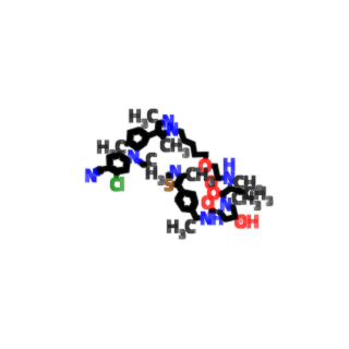 CCN(c1ccc(C#N)c(Cl)c1)c1cc(-c2c(C)nn(CCCCCOCC(=O)N[C@H](C(=O)N3C[C@H](O)C[C@H]3C(=O)N[C@@H](C)c3ccc(-c4scnc4C)cc3)C(C)(C)C)c2C)ccc1C